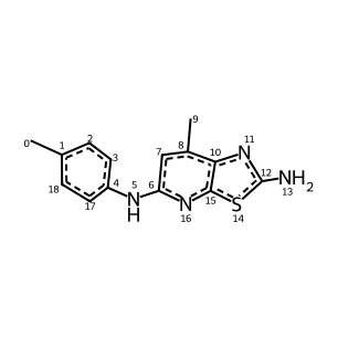 Cc1ccc(Nc2cc(C)c3nc(N)sc3n2)cc1